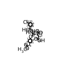 COC(=O)Cc1ccc(OC[C@@H](C)NC[C@H](O)c2cccc(Cl)c2)cc1.O=C(O)C=CC(=O)O